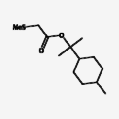 CSCC(=O)OC(C)(C)C1CCC(C)CC1